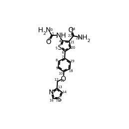 NC(=O)Nc1sc(-c2ccc(OCc3cscn3)cc2)cc1C(N)=O